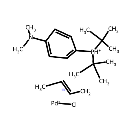 CN(C)c1ccc([PH+](C(C)(C)C)C(C)(C)C)cc1.[CH2-]/C=C/C.[Cl][Pd+]